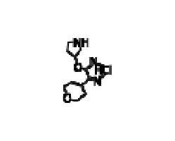 C1=C(c2nccnc2OC2CCNC2)CCOC1.Cl